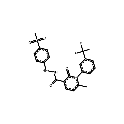 Cc1ccc(C(=O)NNc2ccc(S(C)(=O)=O)cc2)c(=O)n1-c1cccc(C(F)(F)F)c1